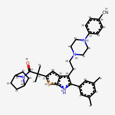 Cc1cc(C)cc(-c2[nH]c3sc(C(C)(C)C(=O)N4C5CCC4CC5)cc3c2CCN2CCN(c3ccc(C#N)cc3)CC2)c1